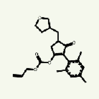 C=CCOC(=O)OC1=C(c2c(C)cc(C)cc2C)C(=O)C(CC2CCOC2)C1